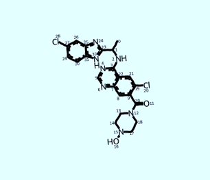 CC(Nc1ncnc2cc(C(=O)N3CCN(O)CC3)c(Cl)cc12)c1nc2cc(Cl)ccc2[nH]1